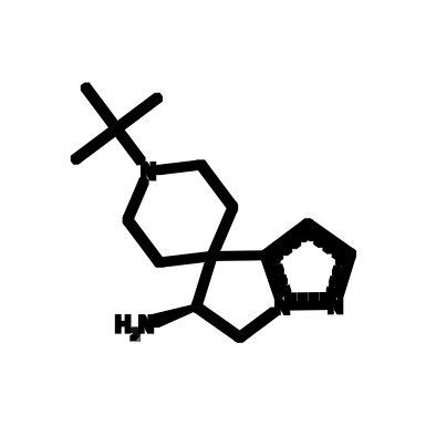 CC(C)(C)N1CCC2(CC1)c1ccnn1C[C@H]2N